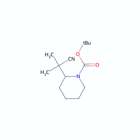 CC(C)(C)OC(=O)N1CCCCC1C(C)(C)C#N